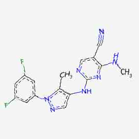 CNc1nc(Nc2cnn(-c3cc(F)cc(F)c3)c2C)ncc1C#N